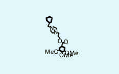 COc1cc(C(=O)OCCCN2CCN(Cc3ccccc3)CC2)cc(OC)c1OC